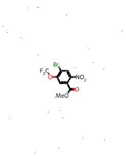 COC(=O)c1cc(OC(F)(F)F)c(Br)cc1[N+](=O)[O-]